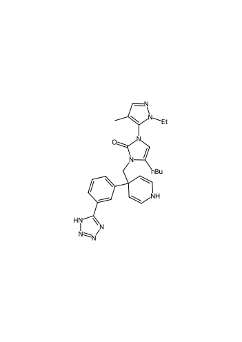 CCCCc1cn(-c2c(C)cnn2CC)c(=O)n1CC1(c2cccc(-c3nnn[nH]3)c2)C=CNC=C1